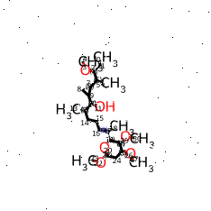 CC[C@H](OC)[C@@H](C)[C@H]1CC1[C@H](O)[C@@H](C)CC/C=C(\C)[C@H]1O[C@@H](OC)C[C@H](OC)[C@H]1OC